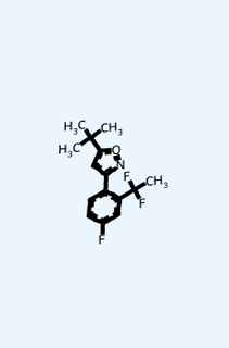 CC(C)(C)c1cc(-c2ccc(F)cc2C(C)(F)F)no1